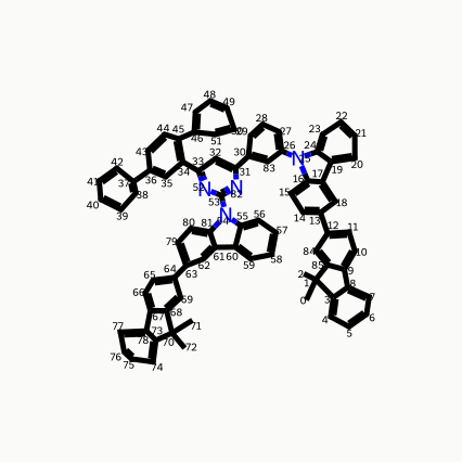 CC1(C)c2ccccc2-c2ccc(-c3ccc4c(c3)c3ccccc3n4-c3cccc(-c4cc(-c5cc(-c6ccccc6)ccc5-c5ccccc5)nc(-n5c6ccccc6c6cc(-c7ccc8c(c7)C(C)(C)c7ccccc7-8)ccc65)n4)c3)cc21